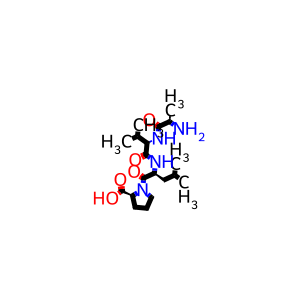 CC(C)C[C@H](NC(=O)[C@@H](NC(=O)[C@H](C)N)C(C)C)C(=O)N1CCC[C@H]1C(=O)O